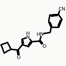 N#Cc1ccc(CNC(=O)c2cc(C(=O)C3CCC3)c[nH]2)cc1